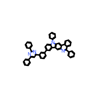 c1ccc(-c2cc(-c3cccc(-c4ccc5c(c4)c4cc6nc(-c7ccccc7)c7ccccc7c6cc4n5-c4ccccc4)c3)nc(-c3ccccc3)n2)cc1